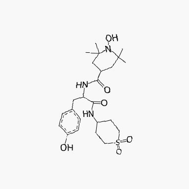 CC1(C)CC(C(=O)NC(Cc2ccc(O)cc2)C(=O)NC2CCS(=O)(=O)CC2)CC(C)(C)N1O